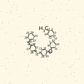 Cc1ccc(Cc2ccc(Oc3ccc(Cc4ccc(Sc5ccccc5)cc4)cc3)cc2)cc1